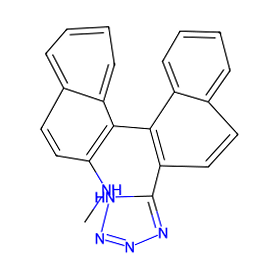 CNc1ccc2ccccc2c1-c1c(-c2nnn[nH]2)ccc2ccccc12